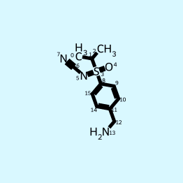 CC(C)S(=O)(=NC#N)c1ccc(CN)cc1